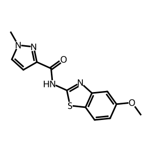 COc1ccc2sc(NC(=O)c3ccn(C)n3)nc2c1